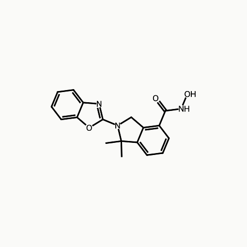 CC1(C)c2cccc(C(=O)NO)c2CN1c1nc2ccccc2o1